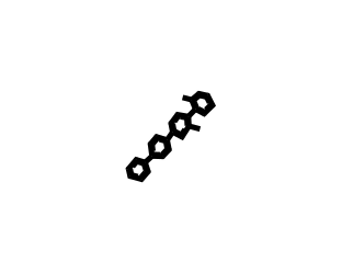 Cc1ccccc1-c1ccc(-c2ccc(-c3ccccc3)cc2)cc1C